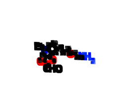 CCn1cc(C(=O)OC=O)c(=O)c2cc(CCCOCCN)ccc21